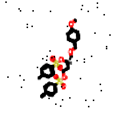 COc1ccc(COC[C@H](CCOS(=O)(=O)c2ccc(C)cc2)OS(=O)(=O)c2ccc(C)cc2)cc1